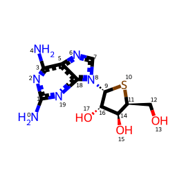 Nc1nc(N)c2ncn([C@@H]3S[C@@H](CO)[C@@H](O)[C@@H]3O)c2n1